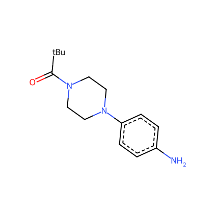 CC(C)(C)C(=O)N1CCN(c2ccc(N)cc2)CC1